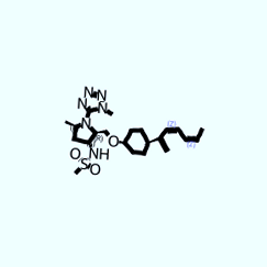 C=C(/C=C\C=C/C)[C@H]1CC[C@@H](OC[C@H]2[C@@H](NS(C)(=O)=O)C[C@@H](C)N2c2nnnn2C)CC1